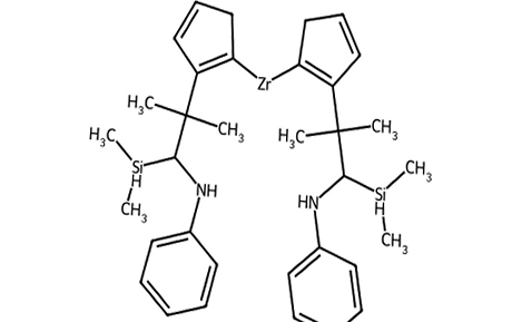 C[SiH](C)C(Nc1ccccc1)C(C)(C)C1=[C]([Zr][C]2=C(C(C)(C)C(Nc3ccccc3)[SiH](C)C)C=CC2)CC=C1